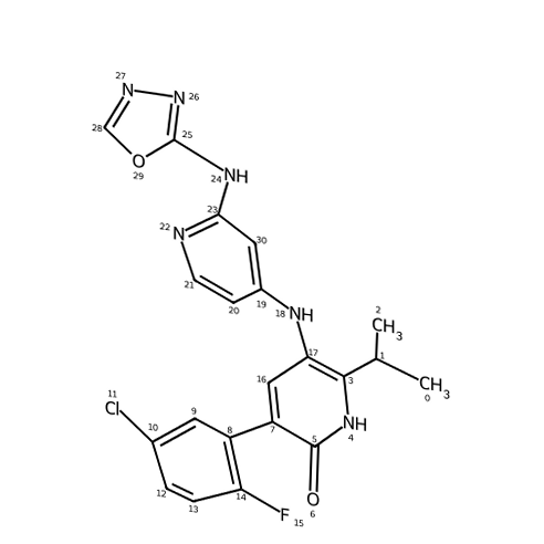 CC(C)c1[nH]c(=O)c(-c2cc(Cl)ccc2F)cc1Nc1ccnc(Nc2nnco2)c1